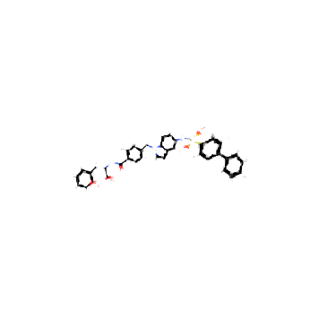 O=C(N[C@@H](Cc1ccccc1)C(=O)O)c1ccc(Cn2ccc3cc(NS(=O)(=O)c4ccc(-c5ccccc5)cc4)ccc32)cc1